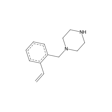 C=Cc1ccccc1CN1CCNCC1